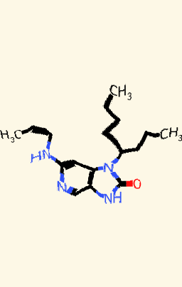 C/C=C\Nc1cc2c(cn1)[nH]c(=O)n2C(CCC)CCCC